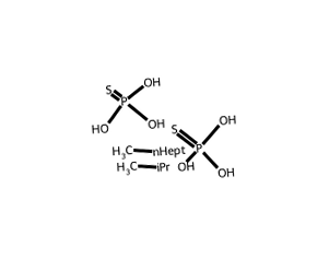 CC(C)C.CCCCCCCC.OP(O)(O)=S.OP(O)(O)=S